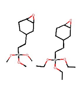 CCO[Si](CCC1CCC2OC2C1)(OCC)OCC.CO[Si](CCC1CCC2OC2C1)(OC)OC